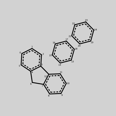 c1ccc2c(c1)Cc1ccccc1-2.c1ccccc1.c1ccccc1